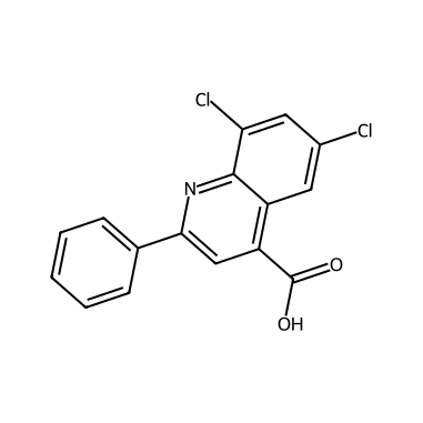 O=C(O)c1cc(-c2ccccc2)nc2c(Cl)cc(Cl)cc12